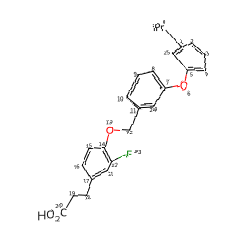 CC(C)c1cccc(Oc2cccc(COc3ccc(CCC(=O)O)cc3F)c2)c1